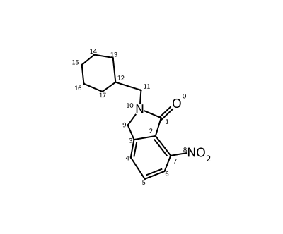 O=C1c2c(cccc2[N+](=O)[O-])CN1CC1CCCCC1